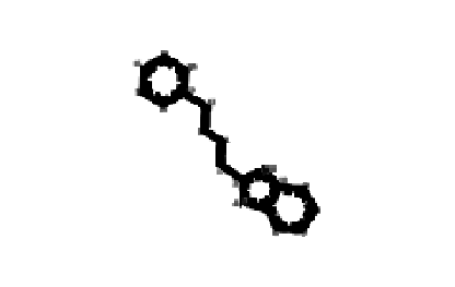 C(C=Cc1nc2ccccc2s1)=Cc1ccccc1